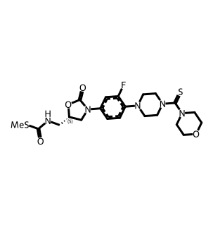 CSC(=O)NC[C@H]1CN(c2ccc(N3CCN(C(=S)N4CCOCC4)CC3)c(F)c2)C(=O)O1